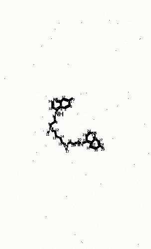 Cc1ccc2c(NCCCN(C)CCCCN(C)CCCNc3ccnc4cc(C)ccc34)ccnc2c1